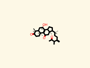 C=C(CC[C@@H](C)C1CCC2C3=C(C(=O)C[C@@]21C)[C@@]1(C)CCC(=O)[C@@H](C)C1C[C@@H]3O)C(C)C(C)=O